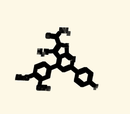 COc1ccc(-c2cc(-c3ccc(F)cc3)nc3sc(C(N)=O)c(N)c23)cc1OC